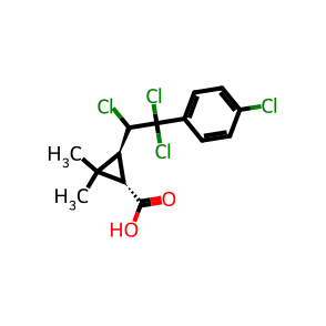 CC1(C)[C@@H](C(=O)O)[C@@H]1C(Cl)C(Cl)(Cl)c1ccc(Cl)cc1